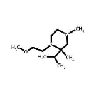 COCCN1CCN(C)CC1(C)C(C)C